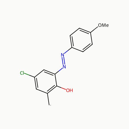 [CH2]c1cc(Cl)cc(/N=N/c2ccc(OC)cc2)c1O